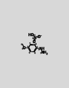 COc1ccc(NN)cc1.O=[N+]([O-])O